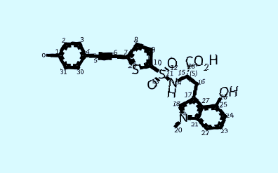 Cc1ccc(C#Cc2ccc(S(=O)(=O)N[C@@H](Cc3cn(C)c4cccc(O)c34)C(=O)O)s2)cc1